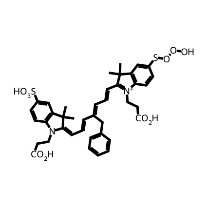 CC1(C)C(/C=C/C=C(/C=C/C=C2/N(CCC(=O)O)c3ccc(S(=O)(=O)O)cc3C2(C)C)Cc2ccccc2)=[N+](CCC(=O)O)c2ccc(SOOO)cc21